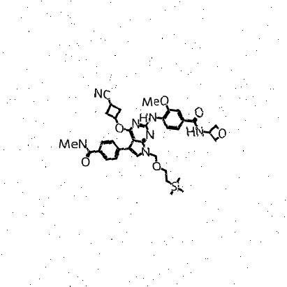 CNC(=O)c1ccc(-c2cn(COCC[Si](C)(C)C)c3nc(Nc4ccc(C(=O)NC5COC5)cc4OC)nc(OC4CC(C#N)C4)c23)cc1